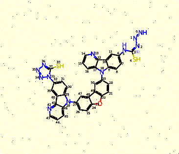 N=N/N=C(/S)Nc1ccc2c(c1)c1ncccc1n2-c1ccc2oc3ccc(-n4c5ccc(-n6nnnc6S)cc5c5ncccc54)cc3c2c1